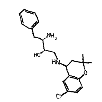 CC1(C)CC(NC[C@@H](O)[C@@H](N)Cc2ccccc2)c2cc(Cl)ccc2O1